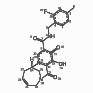 Cc1ccc(CNC(=O)c2cn3c(c(O)c2=O)C(=O)N2CC=CC[C@H]3C2)c(F)c1